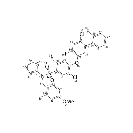 COc1ccc(CN(c2nncs2)S(=O)(=O)c2cc(Cl)c(Oc3cc(-c4ccccc4F)c(Cl)cc3I)cc2F)c(C)c1